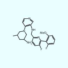 COc1cccc(F)c1-c1nc(CNc2cnccc2N2CC(C)CC(N)C2)ccc1F